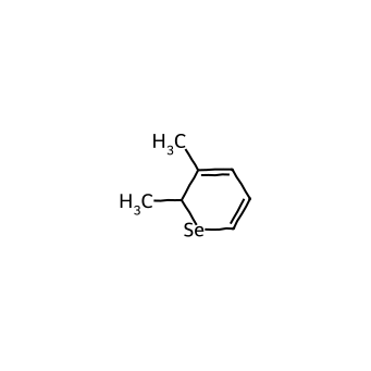 CC1=CC=C[Se]C1C